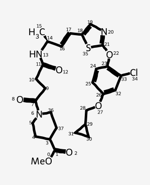 COC(=O)C1CCN(C(=O)CCC(=O)N[C@@H](C)/C=C/c2cnc(Oc3ccc(OCC4CC4)cc3Cl)s2)CC1